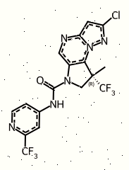 C[C@@]1(C(F)(F)F)CN(C(=O)Nc2ccnc(C(F)(F)F)c2)c2cnc3cc(Cl)nn3c21